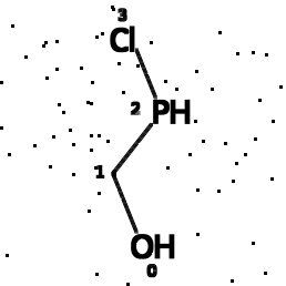 OCPCl